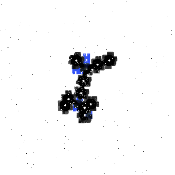 C1=C(c2ccc(-c3ccc(-n4c(-c5cccc6ccccc56)nc5c6cccnc6c6ccccc6c54)cc3)cc2)NC(c2ccccc2)NC1c1ccc(-c2ccccc2)cc1